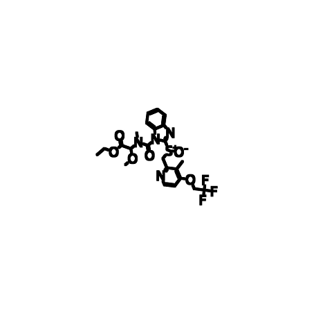 CCOC(=O)C(OC)N(C)C(=O)n1c([S+]([O-])Cc2nccc(OCC(F)(F)F)c2C)nc2ccccc21